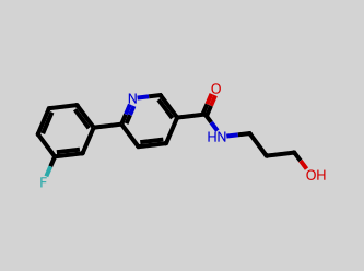 O=C(NCCCO)c1ccc(-c2cccc(F)c2)nc1